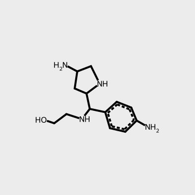 Nc1ccc(C(NCCO)C2CC(N)CN2)cc1